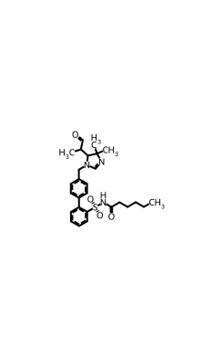 CCCCCC(=O)NS(=O)(=O)c1ccccc1-c1ccc(CN2C=NC(C)(C)C2C(C)C=O)cc1